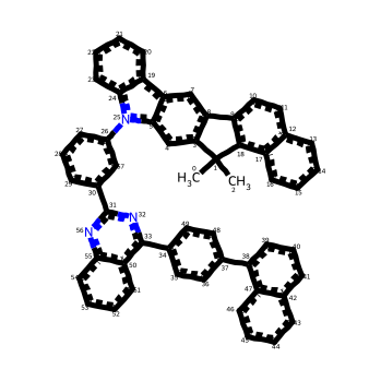 CC1(C)c2cc3c(cc2-c2ccc4ccccc4c21)c1ccccc1n3-c1cccc(-c2nc(-c3ccc(-c4cccc5ccccc45)cc3)c3ccccc3n2)c1